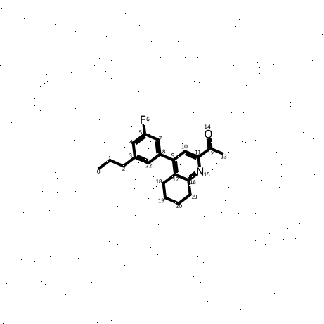 CCCc1cc(F)cc(-c2cc(C(C)=O)nc3c2CCCC3)c1